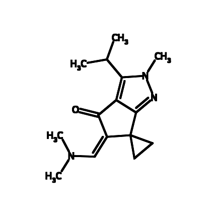 CC(C)c1c2c(nn1C)C1(CC1)/C(=C/N(C)C)C2=O